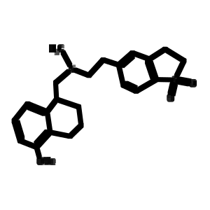 COc1cccc2c1CCCC2CN(C)CCc1ccc2c(c1)CCS2(=O)=O